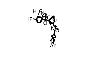 CC(=O)N1CC2(CC(c3nc(-c4cncc([C@@](O)(c5ccc(C(C)C)cc5)C5(C)CN(C)C5)c4)no3)C2)C1